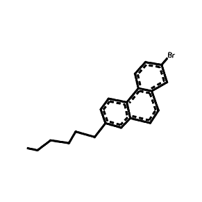 CCCCCCc1ccc2c(ccc3cc(Br)ccc32)c1